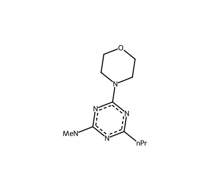 CCCc1nc(NC)nc(N2CCOCC2)n1